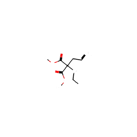 C=CCC([Se]CC)(C(=O)OC)C(=O)OC